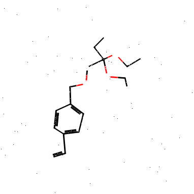 C=Cc1ccc(CO[SiH2]C(CC)(OCC)OCC)cc1